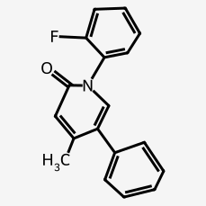 Cc1cc(=O)n(-c2ccccc2F)cc1-c1ccccc1